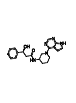 O=C(C[C@H](O)c1ccccc1)NC1CCCN(c2ncnc3[nH]ccc23)C1